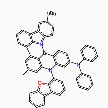 CCCCc1ccc2c(c1)c1cccc3c1n2B1c2ccc(N(c4ccccc4)c4ccccc4)cc2N(c2cccc4c2oc2ccccc24)c2cc(C)cc-3c21